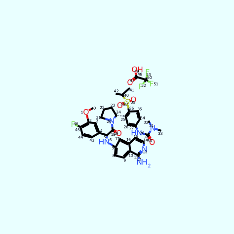 COc1cc([C@H](Nc2ccc3c(N)nccc3c2)C(=O)N2CCC[C@@H]2c2cc(NC(=O)N(C)C)ccc2S(=O)(=O)C(C)C)ccc1F.O=C(O)C(F)(F)F